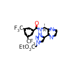 CCOC(=O)Cn1cc(-c2nccnc2[C@@H](C)NC(=O)c2cc(C(F)(F)F)cc(C(F)(F)F)c2)nn1